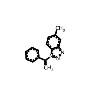 C=C(c1ccccc1)n1nnc2cc(C)ccc21